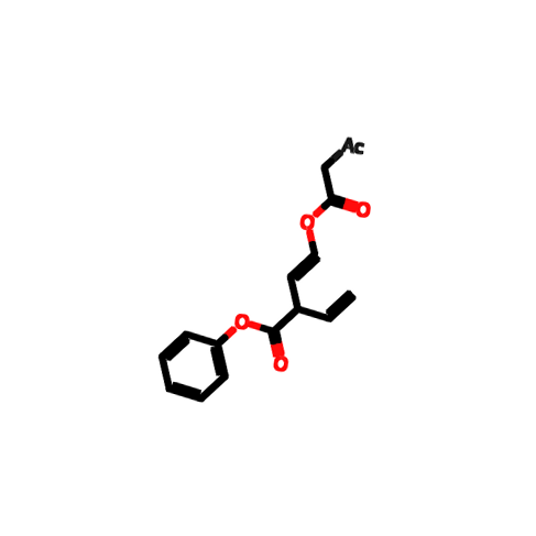 C=CC(C=COC(=O)CC(C)=O)C(=O)Oc1ccccc1